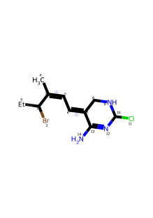 CCC(Br)/C(C)=C\C=C1/CNC(Cl)N=C1N